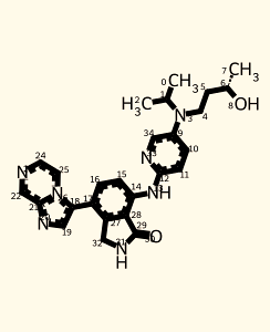 CC(C)N(CC[C@H](C)O)c1ccc(Nc2ccc(-c3cnc4cnccn34)c3c2C(=O)NC3)nc1